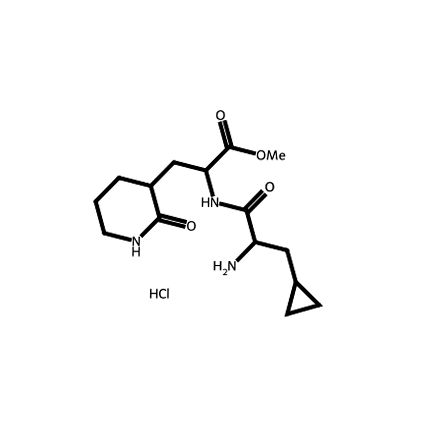 COC(=O)C(CC1CCCNC1=O)NC(=O)C(N)CC1CC1.Cl